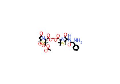 CC(=O)OC[C@@]1(C)[C@H](C(=O)OCOC(=O)[C@@H]2N3C(=O)[C@@H](NC(=O)C(N)c4ccccc4)[C@H]3SC2(C)C)N2C(=O)C[C@H]2S1(=O)=O